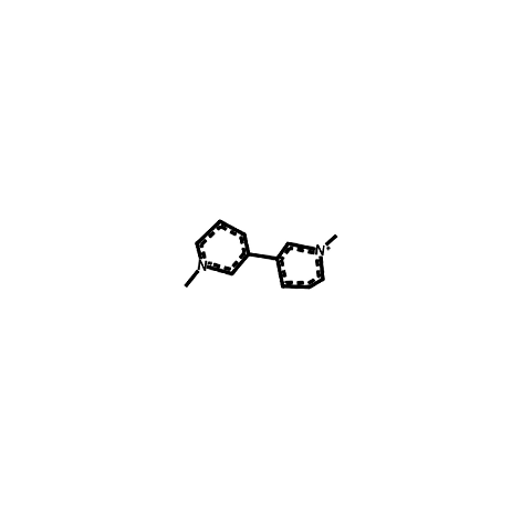 C[n+]1cccc(-c2ccc[n+](C)c2)c1